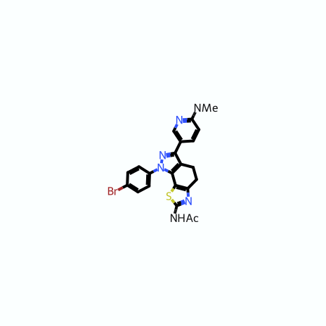 CNc1ccc(-c2nn(-c3ccc(Br)cc3)c3c2CCc2nc(NC(C)=O)sc2-3)cn1